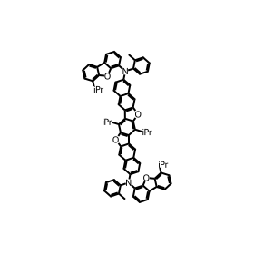 Cc1ccccc1N(c1ccc2cc3c(cc2c1)oc1c(C(C)C)c2c(oc4cc5cc(N(c6ccccc6C)c6cccc7c6oc6c(C(C)C)cccc67)ccc5cc42)c(C(C)C)c13)c1cccc2c1oc1c(C(C)C)cccc12